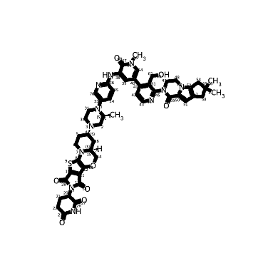 C[C@H]1CN([C@H]2CCN3c4sc5c(c4OC[C@@H]3C2)C(=O)N(C2CCC(=O)NC2=O)C5=O)CCN1c1ccc(Nc2cc(-c3ccnc(N4CCn5c(cc6c5CC(C)(C)C6)C4=O)c3CO)cn(C)c2=O)nc1